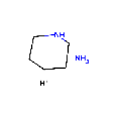 C1CCNCC1.N.[H+]